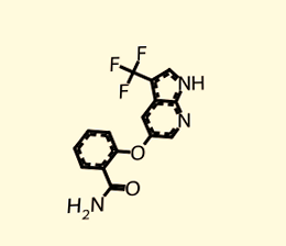 NC(=O)c1ccccc1Oc1cnc2[nH]cc(C(F)(F)F)c2c1